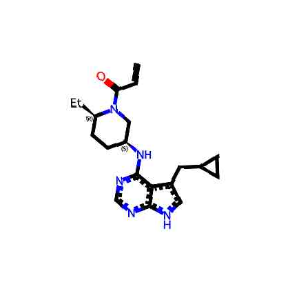 C=CC(=O)N1C[C@@H](Nc2ncnc3[nH]cc(CC4CC4)c23)CC[C@H]1CC